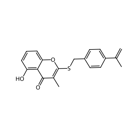 C=C(C)c1ccc(CSc2oc3cccc(O)c3c(=O)c2C)cc1